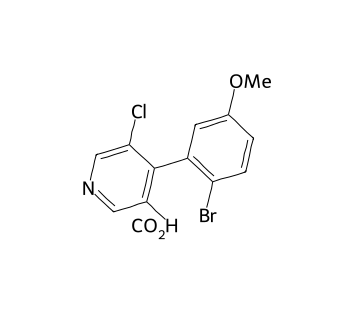 COc1ccc(Br)c(-c2c(Cl)cncc2C(=O)O)c1